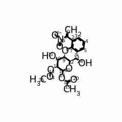 C=C(c1ccccc1O[C@H]1[C@H](O)[C@@H](OOC)[C@H](OC(C)=O)O[C@@H]1CO)[N+](=O)[O-]